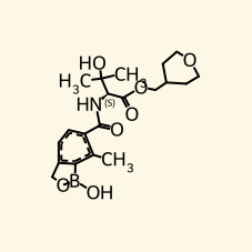 Cc1c(C(=O)N[C@H](C(=O)OCC2CCOCC2)C(C)(C)O)ccc2c1B(O)OC2